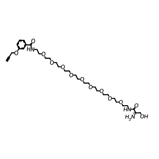 C#CCOc1cccc(C(=O)NCCOCCOCCOCCOCCOCCOCCOCCOCCOCCNC(=O)[C@@H](N)CO)c1